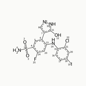 NS(=O)(=O)c1cc(-c2cn[nH]c2O)c(Nc2ccc(I)cc2Cl)cc1F